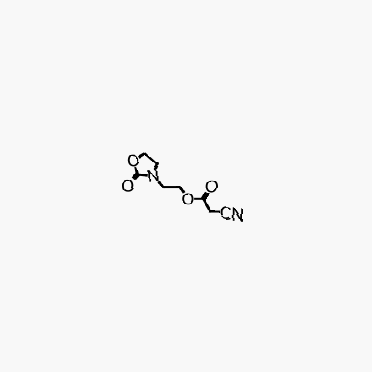 N#CCC(=O)OCCN1CCOC1=O